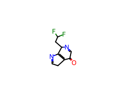 O=C1C=NC(CC(F)F)C2=C1CC=N2